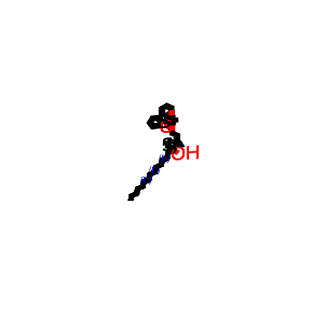 CCCCC/C=C/C/C=C/C/C=C/CC(O)C1([Si](C)(C)C)CC1CCCO[Si](c1ccccc1)(c1ccccc1)C(C)(C)C